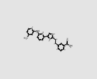 Cc1ccnc(Nc2cccc(-c3cnc(CCc4cccc(C(=O)O)c4)s3)n2)c1